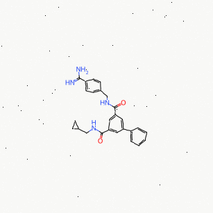 N=C(N)c1ccc(CNC(=O)c2cc(C(=O)NCC3CC3)cc(-c3ccccc3)c2)cc1